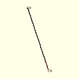 C#CC#CC#CC#CC#CC#CC#CC#CC#CC#CC#CC#CC#CC#CC#CC#CC#CC#CC#CC#CC#CC#CC#CC#CC#CC#CC#N